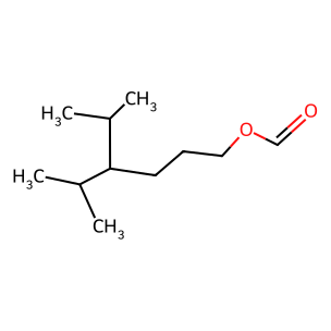 CC(C)C(CCCOC=O)C(C)C